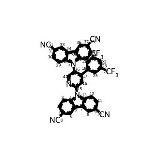 N#Cc1ccc2c(c1)c1cc(C#N)ccc1n2-c1cc(-c2cc(C(F)(F)F)cc(C(F)(F)F)c2)c(-n2c3ccc(C#N)cc3c3cc(C#N)ccc32)cn1